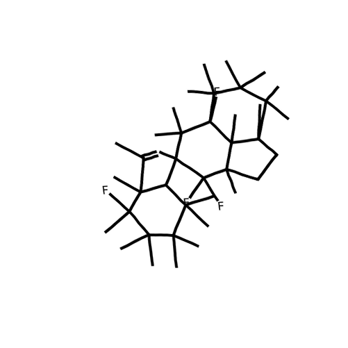 C=C(C)C1(C)C(C2(C)C(C)(C)C3(F)C(C)(C)C(C)(C)C(C)(C)C4(C)CCC(C)(C2(F)F)C43C)C(C)(C)C(C)(C)C(C)(C)C1(C)F